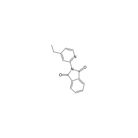 CCc1ccnc(N2C(=O)c3ccccc3C2=O)c1